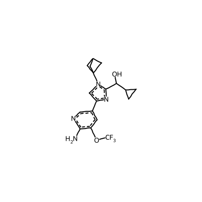 Nc1ncc(-c2cn(C34CC(C3)C4)c(C(O)C3CC3)n2)cc1OC(F)(F)F